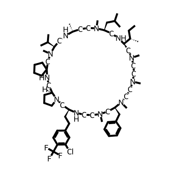 CC[C@H](C)[C@H]1CN(C)CCN(C)CCN(C)[C@@H](Cc2ccccc2)CN(C)CCN[C@@H](CCc2ccc(C(F)(F)F)c(Cl)c2)CN2CCC[C@H]2CNC2(CCCC2)CN(C)[C@@H](C(C)C)CN[C@H](C)CCN(C)[C@@H](CC(C)C)CN1